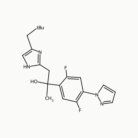 CC(C)(C)Cc1c[nH]c(CC(C)(O)c2cc(F)c(-n3cccn3)cc2F)n1